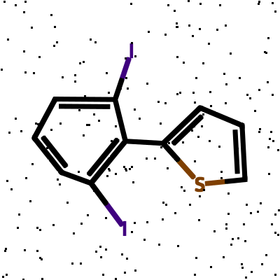 Ic1cccc(I)c1-c1cccs1